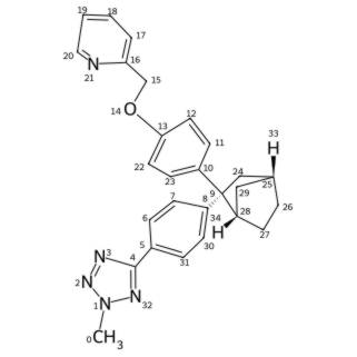 Cn1nnc(-c2ccc([C@]3(c4ccc(OCc5ccccn5)cc4)C[C@@H]4CC[C@H]3C4)cc2)n1